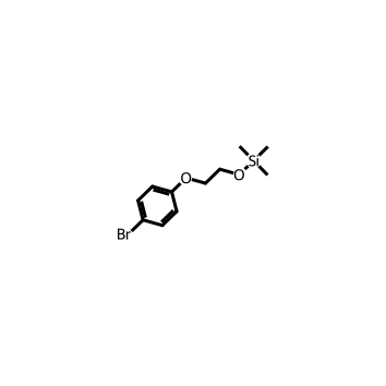 C[Si](C)(C)OCCOc1ccc(Br)cc1